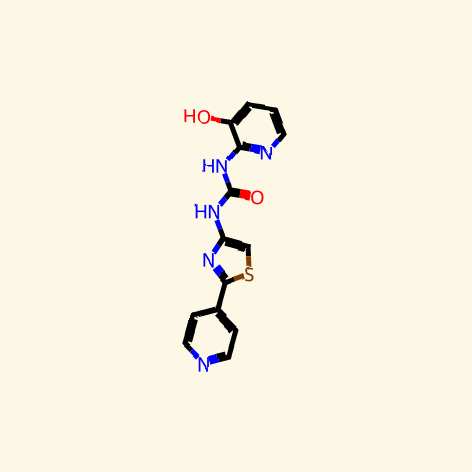 O=C(Nc1csc(-c2ccncc2)n1)Nc1ncccc1O